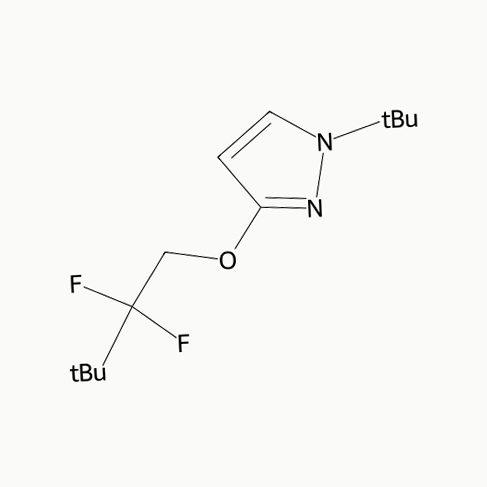 CC(C)(C)n1ccc(OCC(F)(F)C(C)(C)C)n1